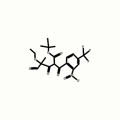 CCOC(C)(C=O)C(=O)C(C(=O)OC(C)(C)C)C(=O)c1ccc(C(F)(F)F)cc1[N+](=O)[O-]